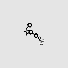 COC(=O)COc1ccc(-c2ccc3c(c2)c(C)c(C)n3Cc2ccccc2)cc1